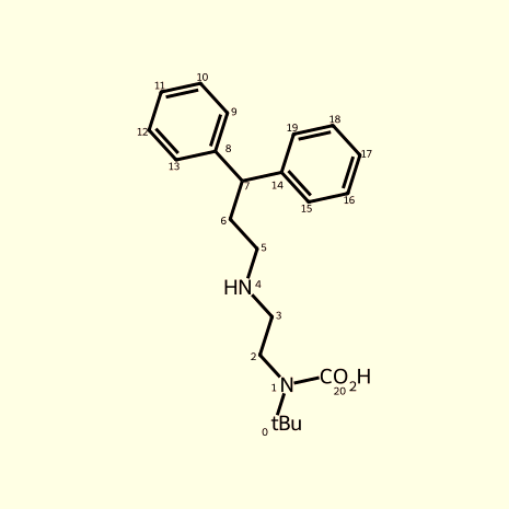 CC(C)(C)N(CCNCCC(c1ccccc1)c1ccccc1)C(=O)O